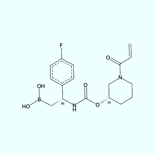 C=CC(=O)N1CCC[C@H](OC(=O)N[C@H](CB(O)O)c2ccc(F)cc2)C1